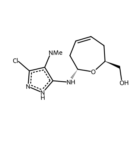 CNc1c(Cl)n[nH]c1N[C@@H]1CC=CC[C@@H](CO)O1